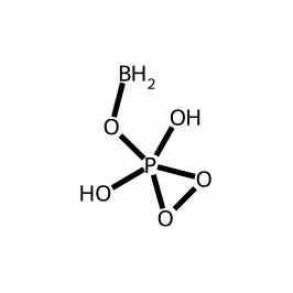 BOP1(O)(O)OO1